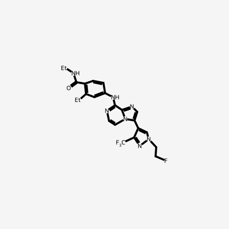 CCNC(=O)c1ccc(Nc2nccn3c(-c4cn(CCF)nc4C(F)(F)F)cnc23)cc1CC